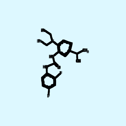 CC(C)CN(CC(C)C)c1ccc(C(C)C#N)cc1NC(=O)Nc1ccc(F)cc1F